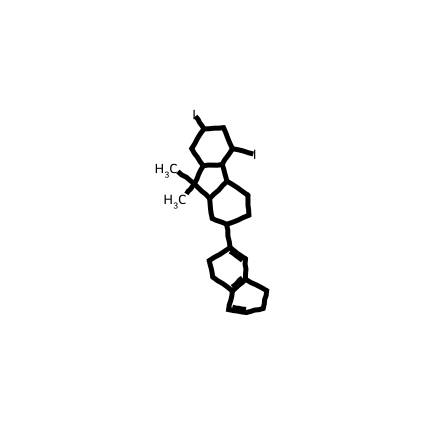 CC1(C)C2CC(C3=CC4=C(C=CCC4)CC3)CCC2C2C(I)CC(I)CC21